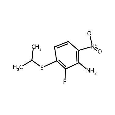 CC(C)Sc1ccc([N+](=O)[O-])c(N)c1F